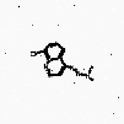 CN(C)N=Nc1ccnc2c(Cl)cccc12